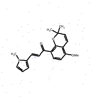 COc1ccc(C(=O)/C=C/c2cccn2C)c2c1C=CC(C)(C)O2